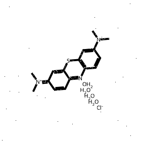 CN(C)c1ccc2nc3ccc(=[N+](C)C)cc-3sc2c1.O.O.O.O.[Cl-]